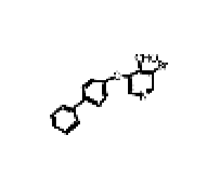 O=Cc1c(Br)cncc1Oc1ccc(-c2ccccc2)cc1